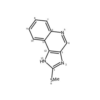 CSc1nc2cnc3ccccc3c2[nH]1